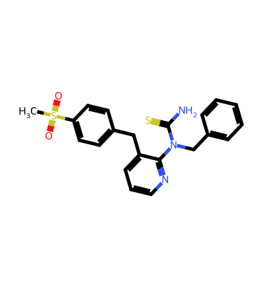 CS(=O)(=O)c1ccc(Cc2cccnc2N(Cc2ccccc2)C(N)=S)cc1